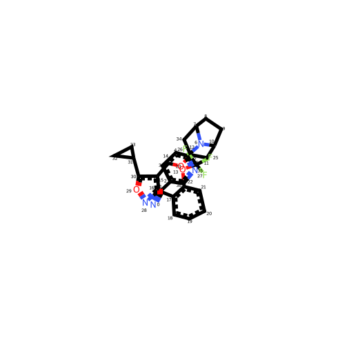 N#Cc1ccc(N2C3CCC2CC(OCc2c(-c4ccccc4OC(F)(F)F)noc2C2CC2)C3)nc1